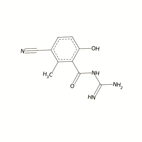 Cc1c(C#N)ccc(O)c1C(=O)NC(=N)N